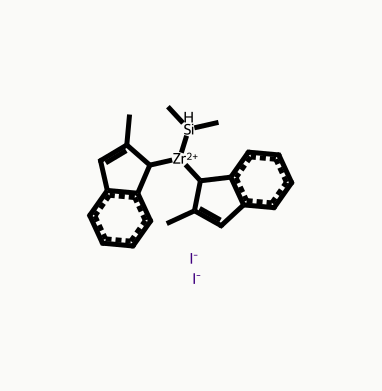 CC1=Cc2ccccc2[CH]1[Zr+2]([CH]1C(C)=Cc2ccccc21)[SiH](C)C.[I-].[I-]